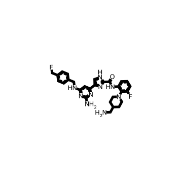 NCC1CCN(c2c(F)cccc2NC(=O)c2nc(-c3cc(NCc4ccc(CF)cc4)nc(N)n3)c[nH]2)CC1